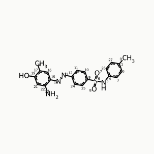 Cc1ccc(NS(=O)(=O)c2ccc(/N=N/c3cc(C)c(O)cc3N)cc2)cc1